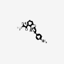 CC(N)C(=O)c1cccc2c1N(C)C(C=Cc1ccc(N)cc1)S2